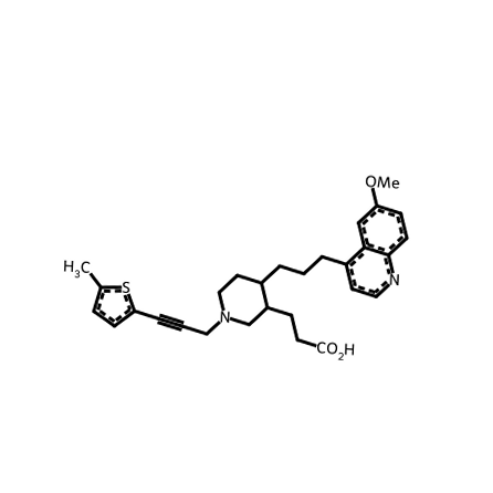 COc1ccc2nccc(CCCC3CCN(CC#Cc4ccc(C)s4)CC3CCC(=O)O)c2c1